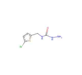 NNC(=O)NCc1ccc(Br)s1